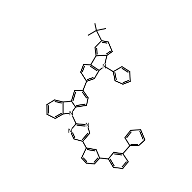 CC(C)(C)c1ccc2c(c1)c1ccc(-c3ccc4c(c3)c3ccccc3n4-c3ncc(-c4cccc(-c5cccc(-c6ccccc6)c5)c4)cn3)cc1n2-c1ccccc1